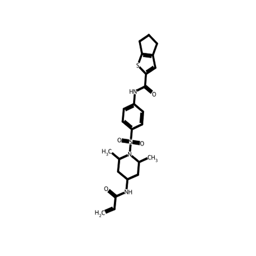 C=CC(=O)NC1CC(C)N(S(=O)(=O)c2ccc(NC(=O)c3cc4c(s3)CCC4)cc2)C(C)C1